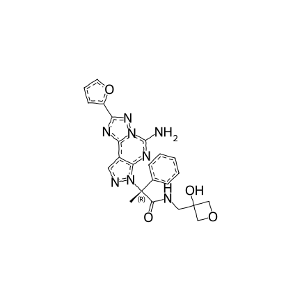 C[C@](C(=O)NCC1(O)COC1)(c1ccccc1)n1ncc2c1nc(N)n1nc(-c3ccco3)nc21